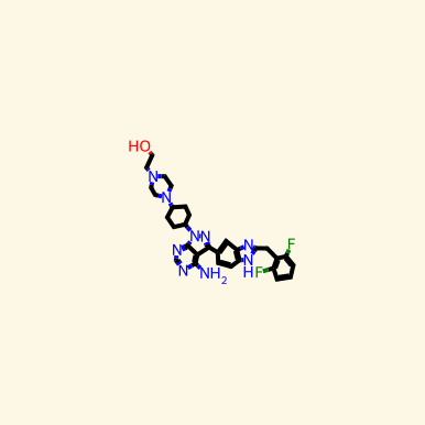 Nc1ncnc2c1c(-c1ccc3[nH]c(Cc4c(F)cccc4F)nc3c1)nn2C1CCC(N2CCN(CCO)CC2)CC1